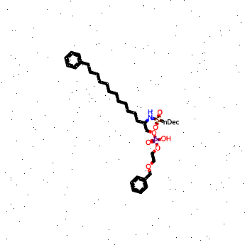 CCCCCCCCCCS(=O)(=O)NC(CCCCCCCCCCCCc1ccccc1)COP(=O)(O)OCCOCc1ccccc1